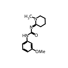 COc1cccc(NC(=O)N=C2CCCCN2C)c1